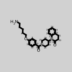 NCCCCCOc1ccc(C(=O)N2CCC(N3C(=O)CCc4ccccc43)CC2)cc1